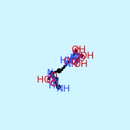 CC(C(=O)NCC(=O)NCCCCCCc1ccc(C#Cc2cncc([C@H](CC(=O)O)NC(=O)[C@@H]3CCCN(C(=O)CCC4CCNCC4)C3)c2)cc1)N1CCN(CC(=O)O)CCN(CC(=O)O)CCN(CC(=O)O)CC1